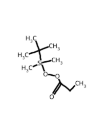 CCC(=O)OO[Si](C)(C)C(C)(C)C